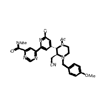 CNC(=O)c1cc(-c2cc([C@H]3[C@H](CC#N)N(Cc4ccc(OC)cc4)CCN3C(C)=O)cc(Cl)n2)ncn1